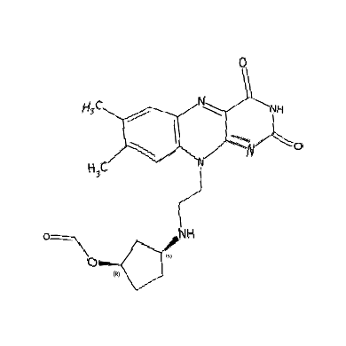 Cc1cc2nc3c(=O)[nH]c(=O)nc-3n(CCN[C@H]3CC[C@@H](OC=O)C3)c2cc1C